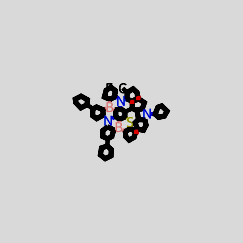 FC(F)(F)c1ccccc1N1c2ccccc2B2c3cc(-c4ccccc4)ccc3N3c4ccc(-c5ccccc5)cc4B4c5ccccc5Sc5c4c3c2c1c5-c1cccc2c1c1ccccc1n2-c1ccccc1